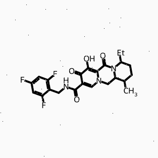 CCC1CCC(C)C2Cn3cc(C(=O)NCc4c(F)cc(F)cc4F)c(=O)c(O)c3C(=O)N12